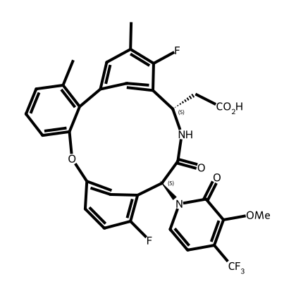 COc1c(C(F)(F)F)ccn([C@@H]2C(=O)N[C@@H](CC(=O)O)c3cc(cc(C)c3F)-c3c(C)cccc3Oc3ccc(F)c2c3)c1=O